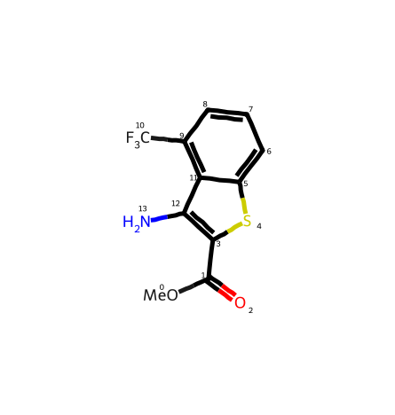 COC(=O)c1sc2cccc(C(F)(F)F)c2c1N